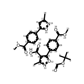 CC(C)(C)OC=O.COC(=O)c1ccc(-c2cc(C)no2)cc1.COC(=O)c1ccc(-c2onc(C)c2C(=O)O)cc1